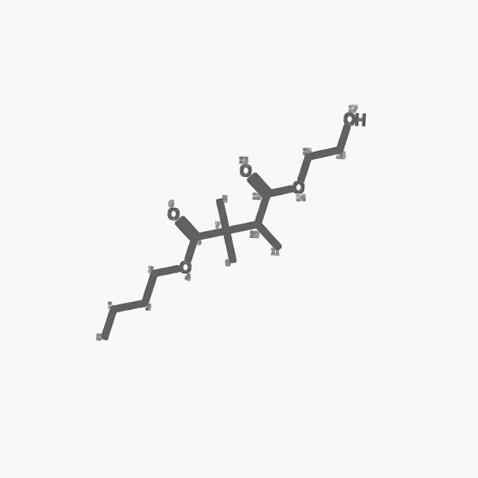 CCCCOC(=O)C(C)(C)C(C)C(=O)OCCO